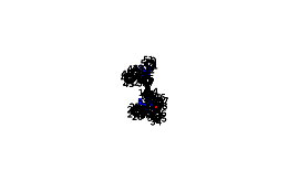 c1ccc(-n2c3ccc(-c4ccc5c(c4)c4cccc6c4n5-c4nc5ccccc5cc4-c4ccccc4-6)cc3c3c4ccccc4ccc32)cc1